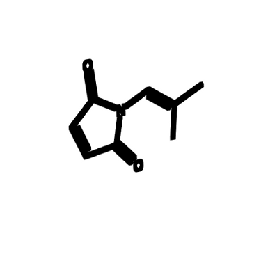 CC(C)=CN1C(=O)C=CC1=O